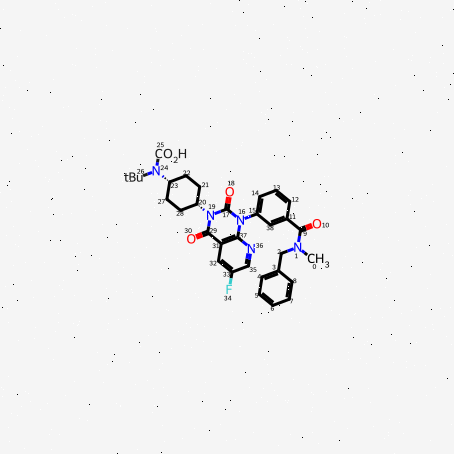 CN(Cc1ccccc1)C(=O)c1cccc(-n2c(=O)n([C@H]3CC[C@@H](N(C(=O)O)C(C)(C)C)CC3)c(=O)c3cc(F)cnc32)c1